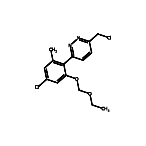 CCOCOc1cc(Cl)cc(C)c1-c1ccc(CCl)nn1